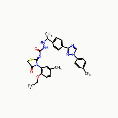 Cc1ccc(OCC(F)(F)F)c(N2C(=O)CS/C2=N\C(=O)NNC(C)c2ccc(-c3ncn(-c4ccc(C(F)(F)F)cc4)n3)cc2)c1